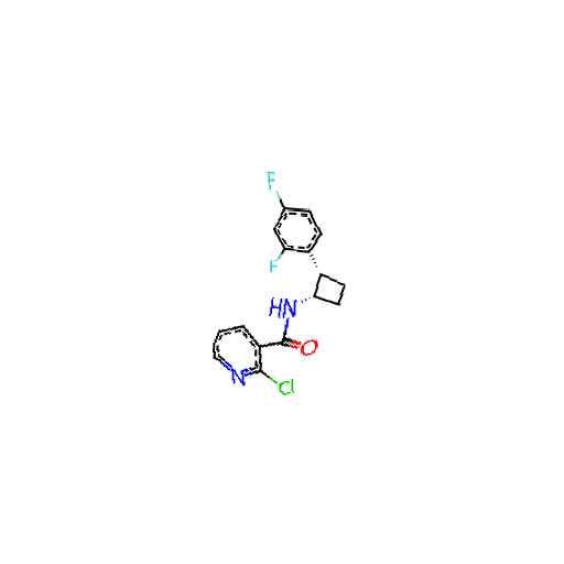 O=C(N[C@H]1CC[C@H]1c1ccc(F)cc1F)c1cccnc1Cl